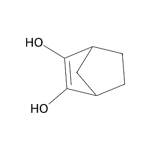 OC1=C(O)C2CCC1C2